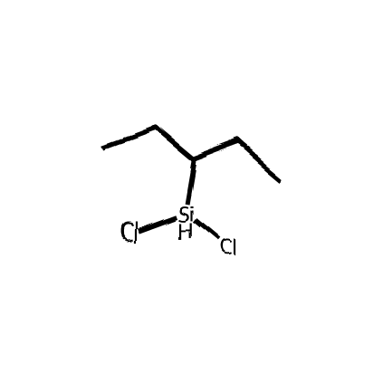 CCC(CC)[SiH](Cl)Cl